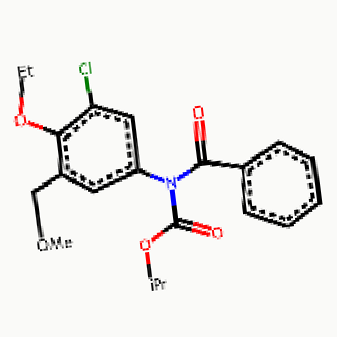 CCOc1c(Cl)cc(N(C(=O)OC(C)C)C(=O)c2ccccc2)cc1COC